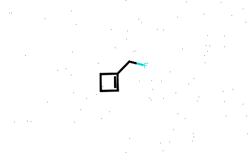 FCC1=CCC1